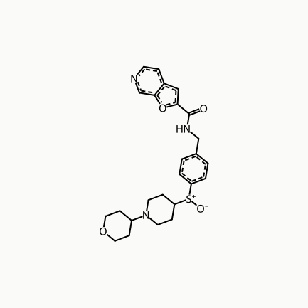 O=C(NCc1ccc([S+]([O-])C2CCN(C3CCOCC3)CC2)cc1)c1cc2ccncc2o1